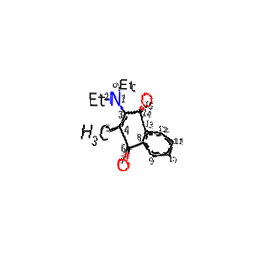 CCN(CC)C1=C(C)C(=O)c2ccccc2C1=O